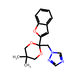 CC1(C)COC(Cn2cncn2)(c2cc3ccccc3o2)OC1